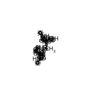 CC(COC(C)(C)CCSc1nc2c(=O)n3cc(-c4ccccc4)[nH]c3nc2n1C1OC2COPOC2C1O)Sc1nc2c(=O)n3cc(-c4ccccc4)[nH]c3nc2n1C[C@@H](O)C1OP(O)OCC1O